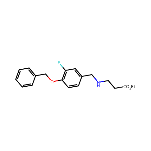 CCOC(=O)CCNCc1ccc(OCc2ccccc2)c(F)c1